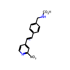 O=C(O)NCc1ccc(/C=C/c2ccnc([N+](=O)[O-])c2)cc1